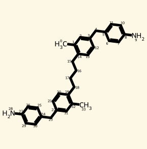 Cc1cc(Cc2ccc(N)cc2)ccc1CCCCc1ccc(Cc2ccc(N)cc2)cc1C